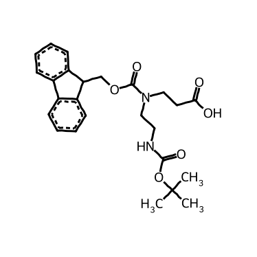 CC(C)(C)OC(=O)NCCN(CCC(=O)O)C(=O)OCC1c2ccccc2-c2ccccc21